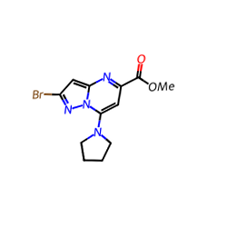 COC(=O)c1cc(N2CCCC2)n2nc(Br)cc2n1